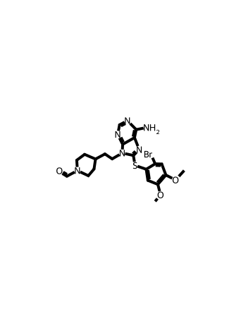 COc1cc(Br)c(Sc2nc3c(N)ncnc3n2CCC2CCN(C=O)CC2)cc1OC